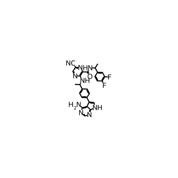 CC(NC(=O)c1nc(C#N)cnc1NC(C)c1ccc(-c2c[nH]c3ncnc(N)c23)cc1)c1ccc(F)c(F)c1